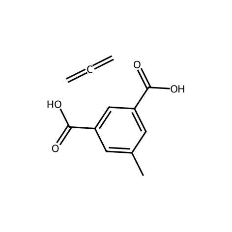 C=C=C.Cc1cc(C(=O)O)cc(C(=O)O)c1